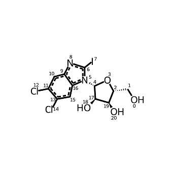 OC[C@H]1O[C@@H](n2c(I)nc3cc(Cl)c(Cl)cc32)[C@H](O)[C@@H]1O